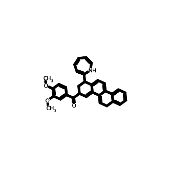 COc1ccc(C(=O)C2C=c3c(ccc4c3=CCc3ccccc3-4)C(C3=CC=CC=CN3)C2)cc1OC